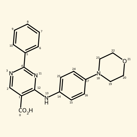 O=C(O)c1cnc(-c2ccccc2)nc1Nc1ccc(N2CCOCC2)cc1